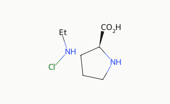 CCNCl.O=C(O)[C@@H]1CCCN1